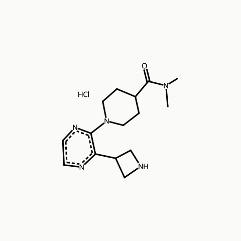 CN(C)C(=O)C1CCN(c2nccnc2C2CNC2)CC1.Cl